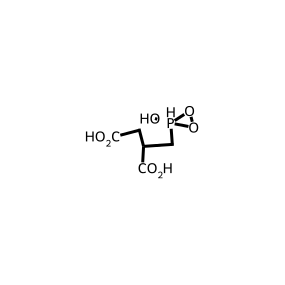 O=C(O)CC(C[PH]1(O)OO1)C(=O)O